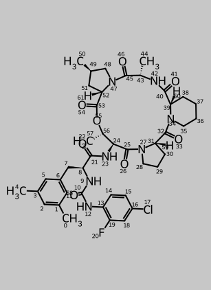 Cc1cc(C)cc(C[C@H](NC(=O)Nc2ccc(Cl)cc2F)C(=O)N[C@@H]2C(=O)N3CCC[C@H]3C(=O)N3CCCC[C@H]3C(=O)N[C@@H](C)C(=O)N3C[C@H](C)C[C@H]3C(=O)O[C@H]2C)c1